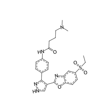 CCS(=O)(=O)c1ccc2oc(-c3c[nH]nc3-c3ccc(NC(=O)CCCN(C)C)cc3)nc2c1